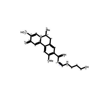 COc1cc2c(cc1C(=N)/N=C\NCCCO)CC(C(C)(C)C)n1cc(C(=O)O)c(=O)cc1-2